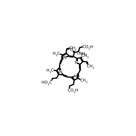 C=CC1=C(C)c2nc1cc1[nH]c(cc3nc(cc4[nH]c(c(C=C)c4C)c2C(=O)[C@@H](N)CC(=O)O)C(C)=C3CCC(=O)O)c(CCC(=O)O)c1C